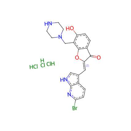 Cl.Cl.Cl.O=C1/C(=C/c2c[nH]c3nc(Br)ccc23)Oc2c1ccc(O)c2CN1CCNCC1